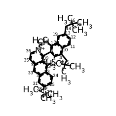 Cc1c2c(c(CC(C)(C)C)c3ccc(CC(C)(C)C)cc13)Sc1c3ccc([Si](C)(C)C)cc3cc3cc[n+](C)c-2c13